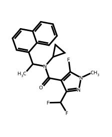 CC(c1cccc2ccccc12)N(C(=O)c1c(C(F)F)nn(C)c1F)C1CC1